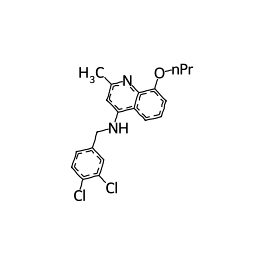 CCCOc1cccc2c(NCc3ccc(Cl)c(Cl)c3)cc(C)nc12